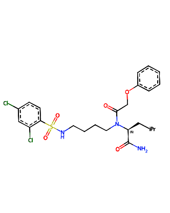 CC(C)C[C@@H](C(N)=O)N(CCCCNS(=O)(=O)c1ccc(Cl)cc1Cl)C(=O)COc1ccccc1